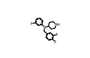 Fc1cccc(N(Cc2ccc(F)c(F)c2)C2CCNCC2)c1